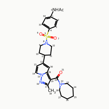 CC(=O)Nc1ccc(S(=O)(=O)N2CCC(c3ccn4nc(C)c(C(=O)N5CCCCCC5)c4c3)CC2)cc1